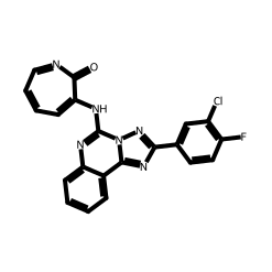 O=c1nccccc1Nc1nc2ccccc2c2nc(-c3ccc(F)c(Cl)c3)nn12